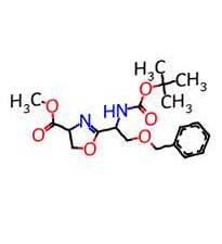 COC(=O)C1COC(C(COCc2ccccc2)NC(=O)OC(C)(C)C)=N1